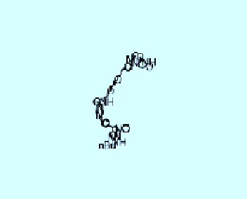 CCCCNc1ncc2c(-c3ccc(CN4CCN(C(=O)NCCCOCCCOCCCc5ccc6c(c5)n(C)c(=O)n6C5CCC(=O)NC5=O)CC4)cc3)cn(C3CCCCC3)c2n1